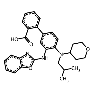 CC(C)CN(c1ccc(-c2ccccc2C(=O)O)cc1Nc1nc2ccccc2o1)C1CCOCC1